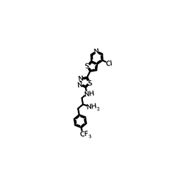 NC(CNc1nnc(-c2cc3c(Cl)cncc3s2)s1)Cc1ccc(C(F)(F)F)cc1